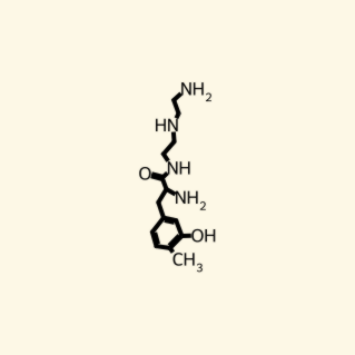 Cc1ccc(CC(N)C(=O)NCCNCCN)cc1O